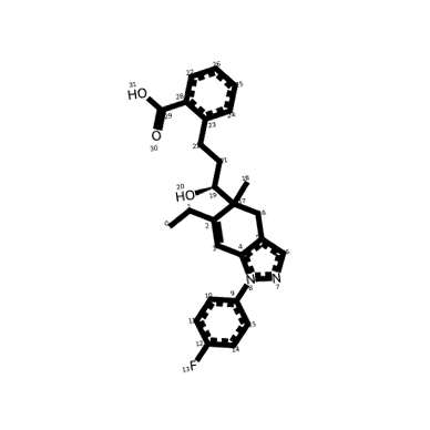 CCC1=Cc2c(cnn2-c2ccc(F)cc2)CC1(C)[C@@H](O)CCc1ccccc1C(=O)O